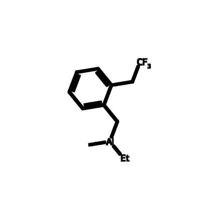 C[CH2][Al]([CH3])[CH2]c1ccccc1CC(F)(F)F